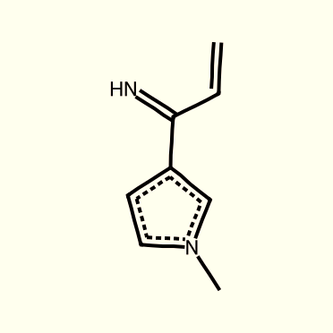 C=CC(=N)c1ccn(C)c1